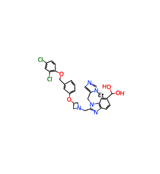 CCn1cncc1Cn1c(CN2CC(Oc3cccc(COc4ccc(Cl)cc4Cl)c3)C2)nc2ccc(C(O)O)cc21